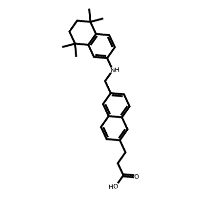 CC1(C)CCC(C)(C)c2cc(NCc3ccc4cc(CCC(=O)O)ccc4c3)ccc21